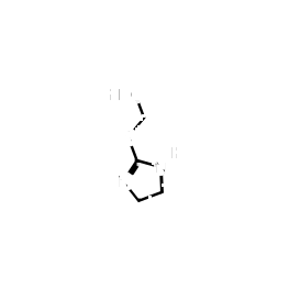 CCSC1=NCCN1.I